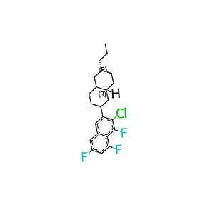 CCC[C@@H]1CC[C@@H]2CC(c3cc4cc(F)cc(F)c4c(F)c3Cl)CCC2C1